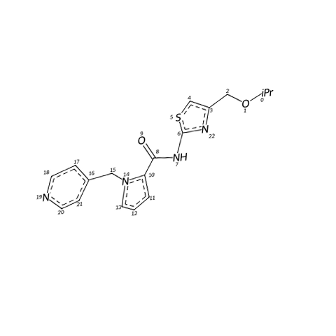 CC(C)OCc1csc(NC(=O)c2cccn2Cc2ccncc2)n1